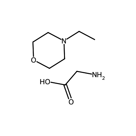 CCN1CCOCC1.NCC(=O)O